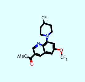 COC(=O)c1cnc2c(N3CCC(C(F)(F)F)CC3)cc(OC(F)(F)F)cc2c1